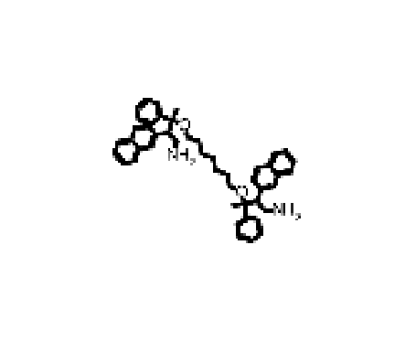 CC(OCCCCCCCOC(C)(c1ccccc1)C(CN)c1ccc2ccccc2c1)(c1ccccc1)C(CN)c1ccc2ccccc2c1